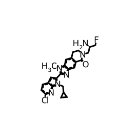 Cn1c(-c2cc3ccc(Cl)nc3n2CC2CC2)nc2cc3c(cc21)CCN(C[C@H](N)CF)C3=O